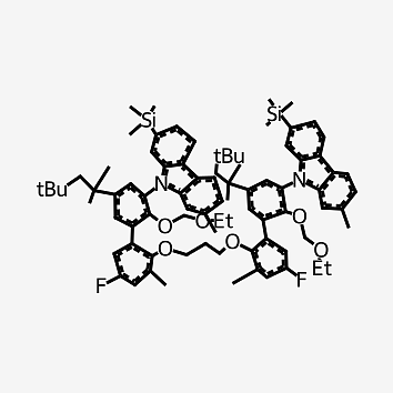 CCOCOc1c(-c2cc(F)cc(C)c2OCCCOc2c(C)cc(F)cc2-c2cc(C(C)(C)CC(C)(C)C)cc(-n3c4cc(C)ccc4c4ccc([Si](C)(C)C)cc43)c2OCOCC)cc(C(C)(C)CC(C)(C)C)cc1-n1c2cc(C)ccc2c2ccc([Si](C)(C)C)cc21